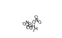 O=C(O)c1c(O)c(/C=C/c2ccc(N(c3ccccc3)c3ccccc3)cc2)nc2ccccc12